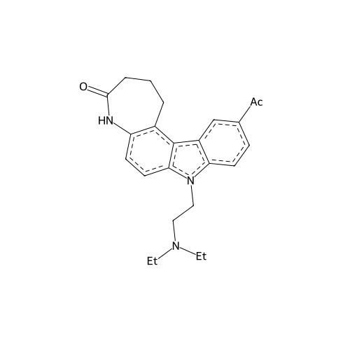 CCN(CC)CCn1c2ccc(C(C)=O)cc2c2c3c(ccc21)NC(=O)CCC3